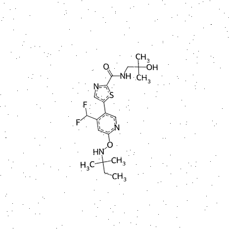 CCC(C)(C)NOc1cc(C(F)F)c(-c2cnc(C(=O)NCC(C)(C)O)s2)cn1